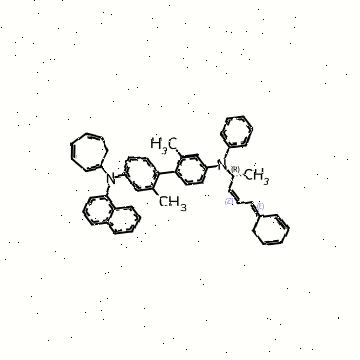 Cc1cc(N(C2=CC=CC=CC2)c2cccc3ccccc23)ccc1-c1ccc(N(c2ccccc2)[C@H](C)/C=C\C=C2\C=CC=CC2)cc1C